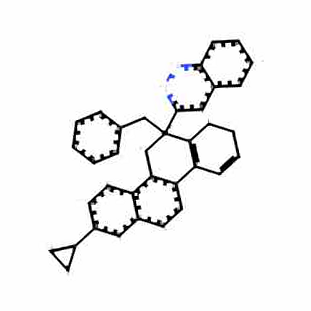 C1=CC2=C(CC1)C(Cc1ccccc1)(c1cc3ccccc3nn1)Cc1c2ccc2cc(C3CC3)ccc12